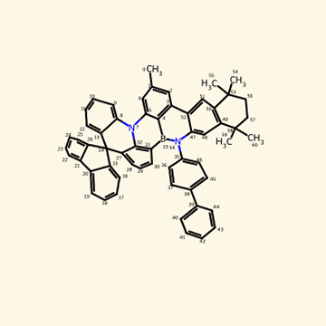 Cc1cc2c3c(c1)N1c4ccccc4C4(c5ccccc5-c5ccccc54)c4cccc(c41)B3N(c1ccc(-c3ccccc3)cc1)c1cc3c(cc1-2)C(C)(C)CCC3(C)C